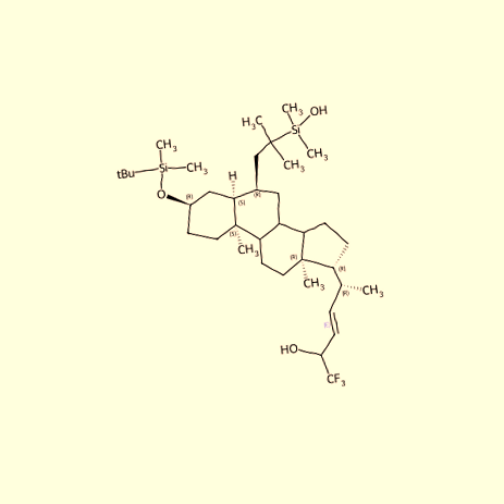 C[C@H](/C=C/C(O)C(F)(F)F)[C@H]1CCC2C3C[C@H](CC(C)(C)[Si](C)(C)O)[C@@H]4C[C@H](O[Si](C)(C)C(C)(C)C)CC[C@]4(C)C3CC[C@@]21C